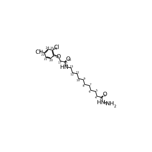 NNC(=O)CCCCCCCCCCNC(=O)COc1ccc(Cl)cc1Cl